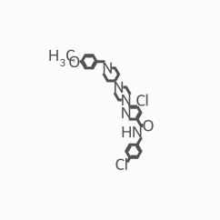 COc1ccc(CN2CCC(N3CCN(c4ncc(C(=O)NCc5ccc(Cl)cc5)cc4Cl)CC3)CC2)cc1